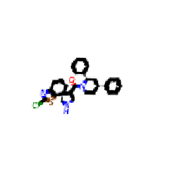 O=C(C1CNC[C@]12CCCc1nc(Cl)sc12)N1CC[C@@H](c2ccccc2)C[C@H]1C1CCCCC1